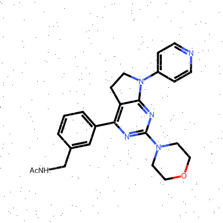 CC(=O)NCc1cccc(-c2nc(N3CCOCC3)nc3c2CCN3c2ccncc2)c1